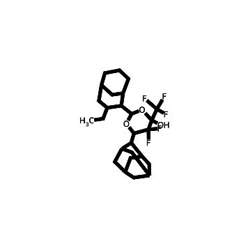 CCC1CC2CCCC(C2)C1C1OC(C2C3CC4CC(C3)CC2C4)C(F)(F)C(O)(C(F)(F)F)O1